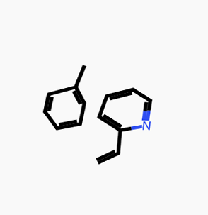 C=Cc1ccccn1.Cc1ccccc1